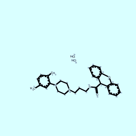 Cc1ccc(C)c(N2CCN(CCCOC(=O)C3c4ccccc4Oc4ccccc43)CC2)c1.Cl.Cl